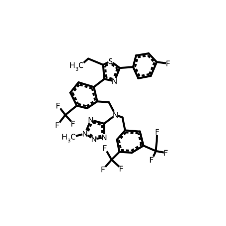 CCc1sc(-c2ccc(F)cc2)nc1-c1ccc(C(F)(F)F)cc1CN(Cc1cc(C(F)(F)F)cc(C(F)(F)F)c1)c1nnn(C)n1